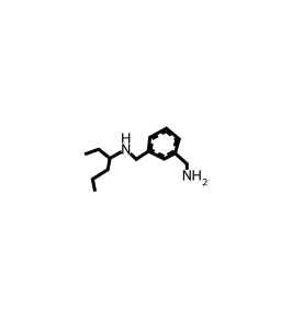 CCCC(CC)NCc1cccc(CN)c1